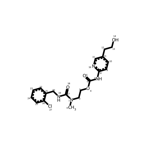 CN(CCOC(=O)Nc1ccc(CCO)cn1)C(=O)NCc1ccccc1Cl